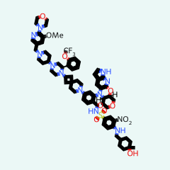 COc1cc(CN2CCC(N3CCN(C4CC5(CCN(c6ccc(C(=O)NS(=O)(=O)c7ccc(NCC8CCC(C)(O)CC8)c([N+](=O)[O-])c7)c(N7c8cc9cc[nH]c9nc8O[C@H]8COCC[C@@H]87)c6)CC5)C4)[C@H](c4ccccc4OC(F)(F)F)C3)CC2)cnc1N1CCOCC1